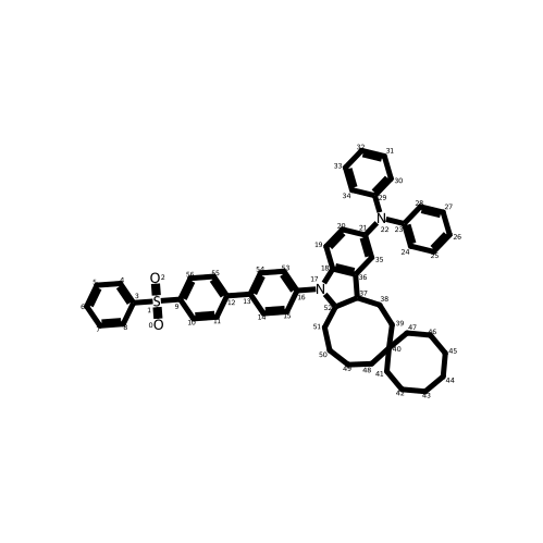 O=S(=O)(c1ccccc1)c1ccc(-c2ccc(N3c4ccc(N(c5ccccc5)c5ccccc5)cc4C4CCC5(CCCCCCC5)CCCCC43)cc2)cc1